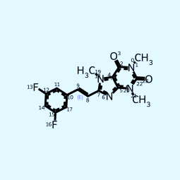 Cn1c(=O)c2c(nc(/C=C/c3cc(F)cc(F)c3)n2C)n(C)c1=O